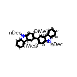 CCCCCCCCCCn1c2ccccc2c2cc(-c3cc4c5ccccc5n(CCCCCCCCCC)c4cc3OC)c(OC)cc21